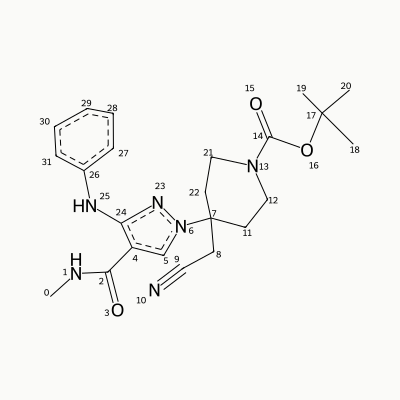 CNC(=O)c1cn(C2(CC#N)CCN(C(=O)OC(C)(C)C)CC2)nc1Nc1ccccc1